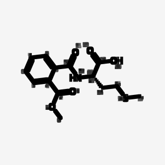 COC(=O)c1ccccc1C(=O)N[C@@H](CCSC)C(=O)O